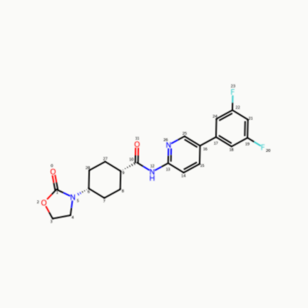 O=C1OCCN1[C@H]1CC[C@@H](C(=O)Nc2ccc(-c3cc(F)cc(F)c3)cn2)CC1